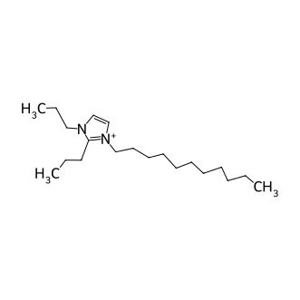 CCCCCCCCCCC[n+]1ccn(CCC)c1CCC